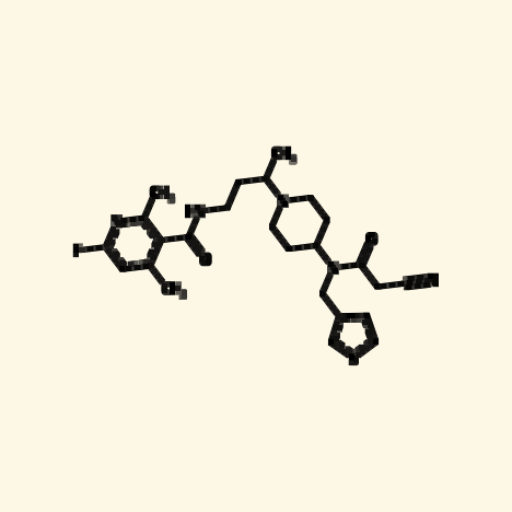 Cc1cc(F)nc(C)c1C(=O)NCCC(C)N1CCC(N(Cc2ccsc2)C(=O)CC#N)CC1